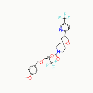 COc1ccc(COC[C@@H](OC(=O)N2CCC3(CC2)CC(c2ccc(C(F)(F)F)cn2)CO3)C(F)(F)F)cc1